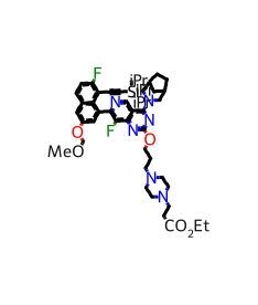 CCOC(=O)CCN1CCN(CCCOc2nc(N3CC4CCC(C4)C3)c3cnc(-c4cc(OCOC)cc5ccc(F)c(C#C[Si](C(C)C)(C(C)C)C(C)C)c45)c(F)c3n2)CC1